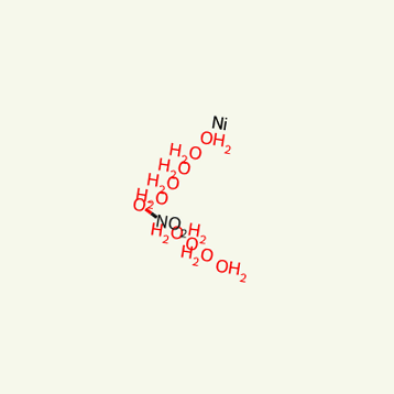 O.O.O.O.O.O.O.O.O.O=[N+]([O-])[O-].[Ni]